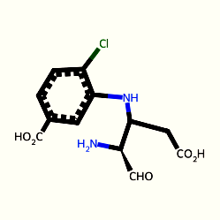 N[C@H](C=O)C(CC(=O)O)Nc1cc(C(=O)O)ccc1Cl